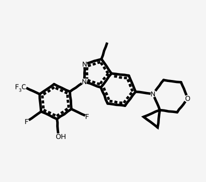 Cc1nn(-c2cc(C(F)(F)F)c(F)c(O)c2F)c2ccc(N3CCOCC34CC4)cc12